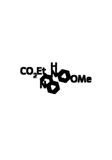 CCOC(=O)c1cnc2ccccc2c1Nc1ccc(OC)cc1